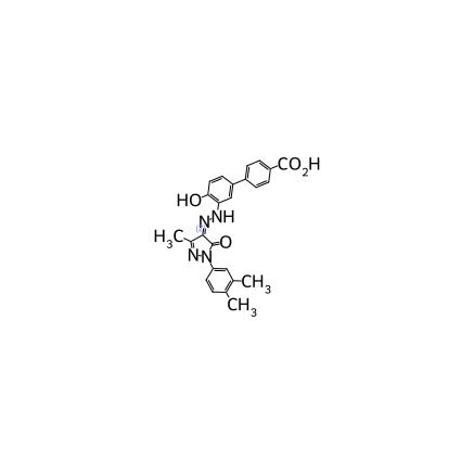 CC1=NN(c2ccc(C)c(C)c2)C(=O)/C1=N\Nc1cc(-c2ccc(C(=O)O)cc2)ccc1O